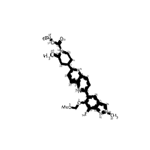 COCOc1c(-c2ccc3nc(C4CCN(C(=O)OC(C)(C)C)C(C)C4)ccc3n2)cc2cn(C)nc2c1F